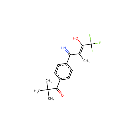 C/C(C(=N)c1ccc(C(=O)C(C)(C)C)cc1)=C(/O)C(F)(F)F